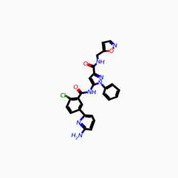 Nc1cccc(-c2ccc(Cl)c(C(=O)Nc3cc(C(=O)NCc4ccno4)nn3-c3ccccc3)c2)n1